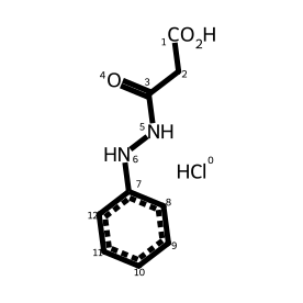 Cl.O=C(O)CC(=O)NNc1ccccc1